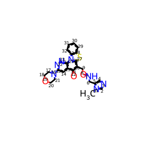 Cn1cncc1CNOCc1c(=O)c2cc(N3CCOCC3)nnc2n2c1sc1ccccc12